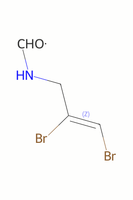 O=[C]NC/C(Br)=C/Br